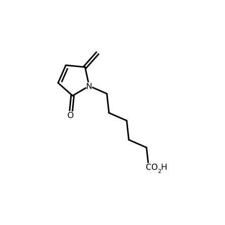 C=C1C=CC(=O)N1CCCCCC(=O)O